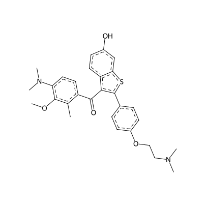 COc1c(N(C)C)ccc(C(=O)c2c(-c3ccc(OCCN(C)C)cc3)sc3cc(O)ccc23)c1C